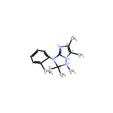 Cc1ccccc1N1c2nc(C)c(C)n2N(C)C1(C)C